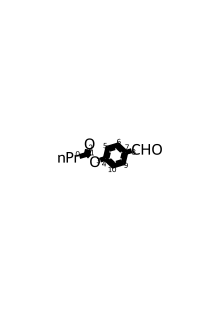 CCCC(=O)Oc1ccc(C=O)cc1